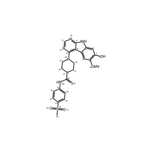 COc1cc2c(cc1O)[nH]c1ncnc(N3CCN(C(=S)Nc4ccc(S(C)(=O)=O)cc4)CC3)c12